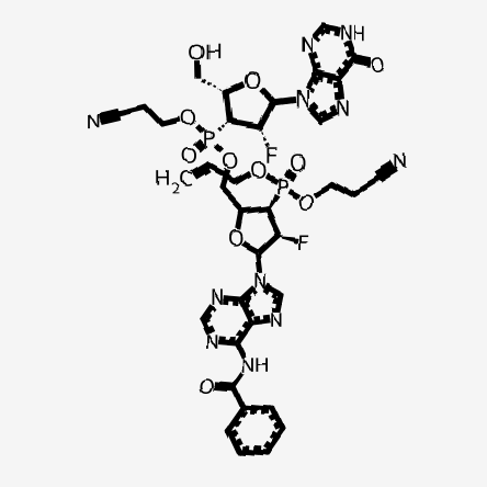 C=CCOP(=O)(OCCC#N)[C@@H]1C(COP(=O)(OCCC#N)[C@@H]2[C@H](CO)OC(n3cnc4c(=O)[nH]cnc43)[C@@H]2F)OC(n2cnc3c(NC(=O)c4ccccc4)ncnc32)[C@@H]1F